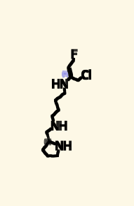 FC/C=C(\CCl)NCCCCNC[C@@H]1CCCN1